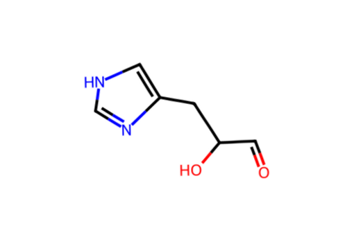 O=CC(O)Cc1c[nH]cn1